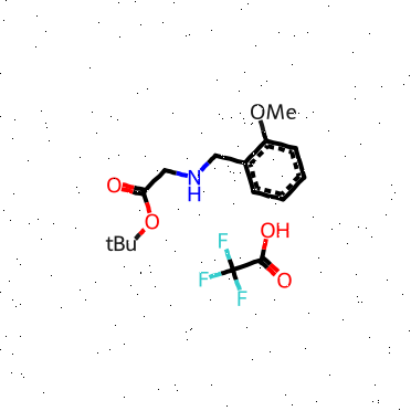 COc1ccccc1CNCC(=O)OC(C)(C)C.O=C(O)C(F)(F)F